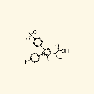 CCC(C(=O)O)c1cc(-c2ccc(S(C)(=O)=O)cc2)n(-c2ccc(F)cc2)c1C